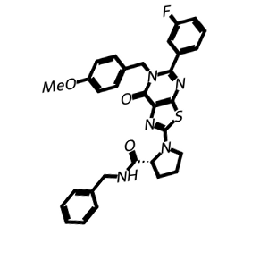 COc1ccc(Cn2c(-c3cccc(F)c3)nc3sc(N4CCC[C@@H]4C(=O)NCc4ccccc4)nc3c2=O)cc1